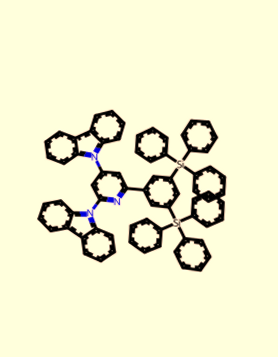 c1ccc([Si](c2ccccc2)(c2ccccc2)c2cc(-c3cc(-n4c5ccccc5c5ccccc54)cc(-n4c5ccccc5c5ccccc54)n3)cc([Si](c3ccccc3)(c3ccccc3)c3ccccc3)c2)cc1